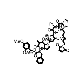 CCC(C)C(C(CC(=O)N1CCCC1C(OC)C(C)C(=O)N[C@@H](Cc1ccccc1)C(=O)OCc1ccc(OC)cc1OC)OC)N(C)C(=O)[C@@H](NC(=O)[C@H](C(C)C)N(C)C(=O)CCCCCN1C(=O)C=CC1=O)C(C)C